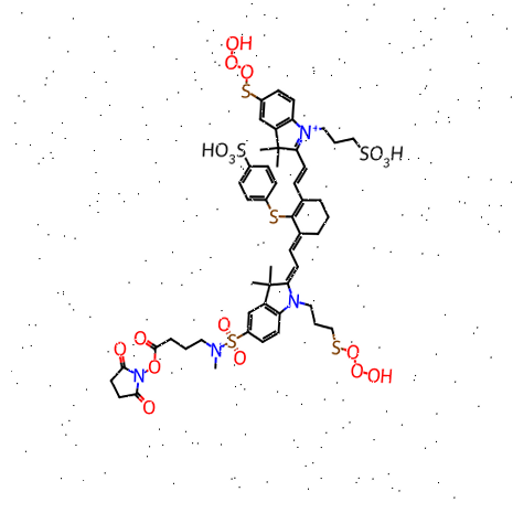 CN(CCCC(=O)ON1C(=O)CCC1=O)S(=O)(=O)c1ccc2c(c1)C(C)(C)/C(=C\C=C1/CCCC(/C=C/C3=[N+](CCCS(=O)(=O)O)c4ccc(SOOO)cc4C3(C)C)=C1Sc1ccc(S(=O)(=O)O)cc1)N2CCCSOOO